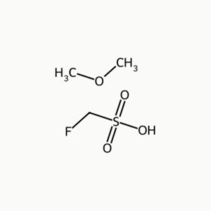 COC.O=S(=O)(O)CF